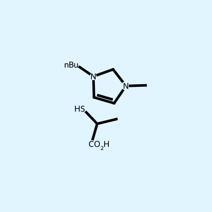 CC(S)C(=O)O.CCCCN1C=CN(C)C1